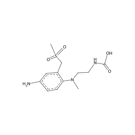 CN(CCNC(=O)O)c1ccc(N)cc1CS(C)(=O)=O